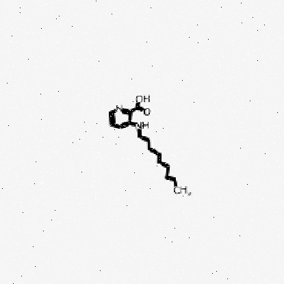 CCCCCCCCCNc1cccnc1C(=O)O